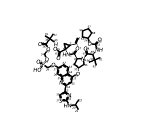 C=C[C@@H]1C[C@]1(NC(=O)[C@@H]1C[C@@H](Oc2cc(-c3csc(NC(C)C)n3)nc3cc(OCP(=O)(O)OCOC(=O)C(C)(C)C)ccc23)CN1C(=O)[C@@H](NC(=O)OC1CCCC1)C(C)(C)C)C(=O)O